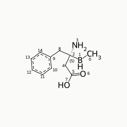 CB[C@@](N)(CC(=O)O)Cc1ccccc1